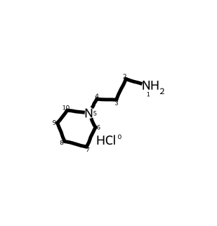 Cl.NCCCN1CCCCC1